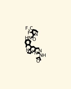 Cc1ccc(NC(=O)c2nccc(C(F)(F)F)c2F)cc1C1=Cc2cnc(NC3COC3)nc2N2CCN=C12